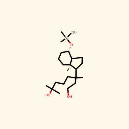 CC(C)(O)CCCC(C)(CCO)C1CCC2[C@@H](O[Si](C)(C)C(C)(C)C)CCC[C@@]21C